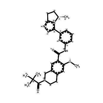 COc1cc2c(cc1C(=O)Nc1cccc(-c3nnc4n3[C@@H](C)CC4)n1)CN(C(=O)C(C)(C)C)CC2